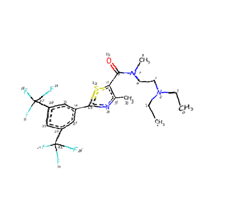 CCN(CC)CCN(C)C(=O)c1sc(-c2cc(C(F)(F)F)cc(C(F)(F)F)c2)nc1C